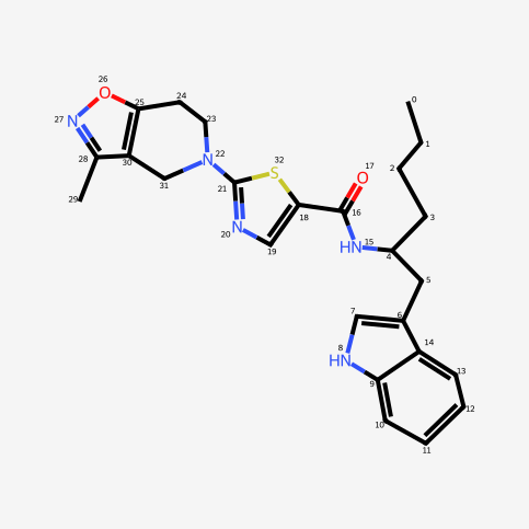 CCCCC(Cc1c[nH]c2ccccc12)NC(=O)c1cnc(N2CCc3onc(C)c3C2)s1